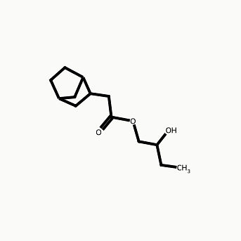 CCC(O)COC(=O)CC1CC2CCC1C2